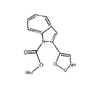 CC(C)(C)OC(=O)n1c(C2=CNOO2)cc2ccccc21